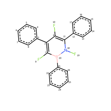 FC1=C(c2ccccc2)C(F)=C(c2ccccc2)N(F)B1c1ccccc1